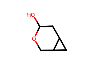 OC1CC2CC2CO1